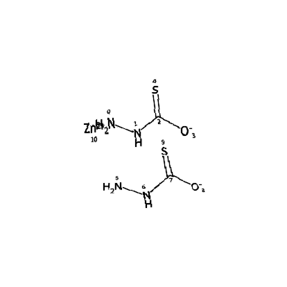 NNC([O-])=S.NNC([O-])=S.[Zn+2]